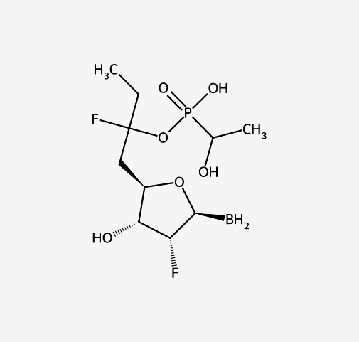 B[C@@H]1O[C@H](CC(F)(CC)OP(=O)(O)C(C)O)[C@@H](O)[C@H]1F